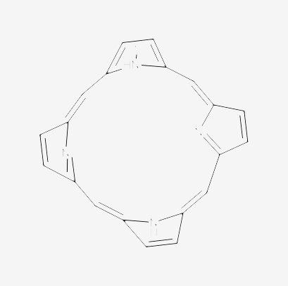 [S-][NH+]1C2=CC=C1C=C1C=CC(=N1)C=c1ccc([nH]1)=CC1=NC(=C2)C=C1